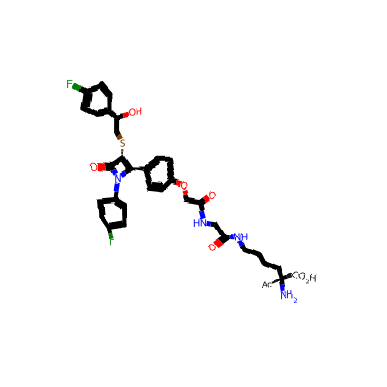 CC(=O)[C@@](N)(CCCCNC(=O)CNC(=O)COc1ccc([C@@H]2[C@@H](SCC(O)c3ccc(F)cc3)C(=O)N2c2ccc(F)cc2)cc1)C(=O)O